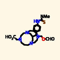 CNC(=S)Nc1ccc(CC2CN3CCCN(CC(=O)O)CCN(CCCN(COC=O)CC3)C2)cc1